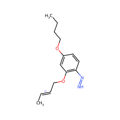 C/C=C/COc1cc(OCCCC)ccc1N=N